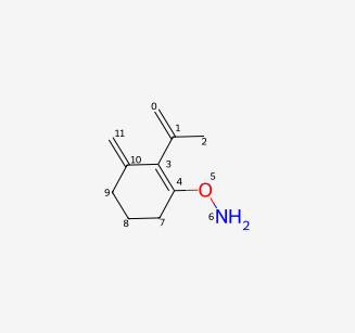 C=C(C)C1=C(ON)CCCC1=C